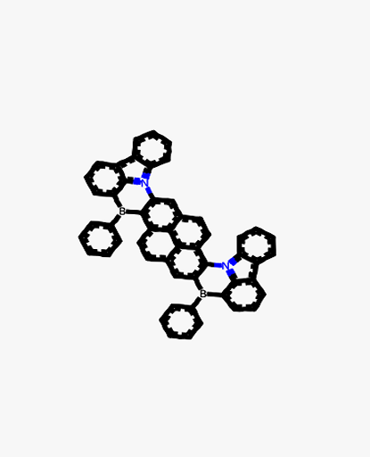 c1ccc(B2c3c(cc4ccc5c6c(cc7ccc3c4c75)B(c3ccccc3)c3cccc4c5ccccc5n-6c34)-n3c4ccccc4c4cccc2c43)cc1